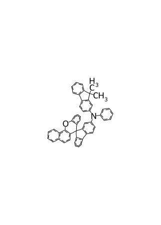 CC1(C)c2ccccc2-c2ccc(N(c3ccccc3)c3ccc4c(c3)C3(c5ccccc5Oc5c3ccc3ccccc53)c3ccccc3-4)cc21